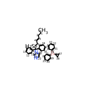 CCCC=CC[SiH2]C(c1ccccc1)(c1ccccc1)n1ccnc1.c1ccc(B(c2ccccc2)C2CC2)cc1